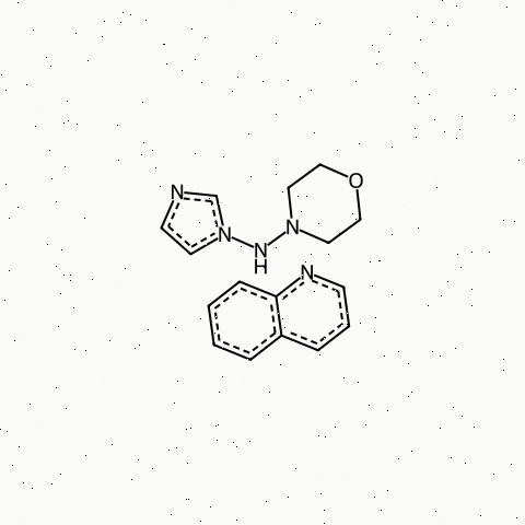 c1ccc2ncccc2c1.c1cn(NN2CCOCC2)cn1